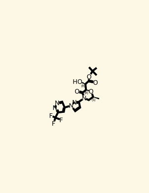 C[C@H]1CN(c2ccn(-c3cnnc(C(F)(F)F)c3)n2)C(=O)[C@@H]([C@@H](O)C(=O)OC(C)(C)C)O1